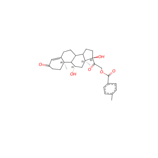 Cc1ccc(C(=O)OCC(=O)[C@@]2(O)CCC3C4CCC5=CC(=O)CC[C@]5(C)C4[C@@H](O)C[C@@]32C)cc1